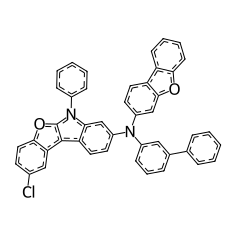 Clc1ccc2oc3c(c2c1)c1ccc(N(c2cccc(-c4ccccc4)c2)c2ccc4c(c2)oc2ccccc24)cc1n3-c1ccccc1